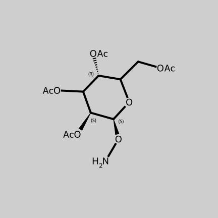 CC(=O)OCC1O[C@@H](ON)[C@@H](OC(C)=O)C(OC(C)=O)[C@@H]1OC(C)=O